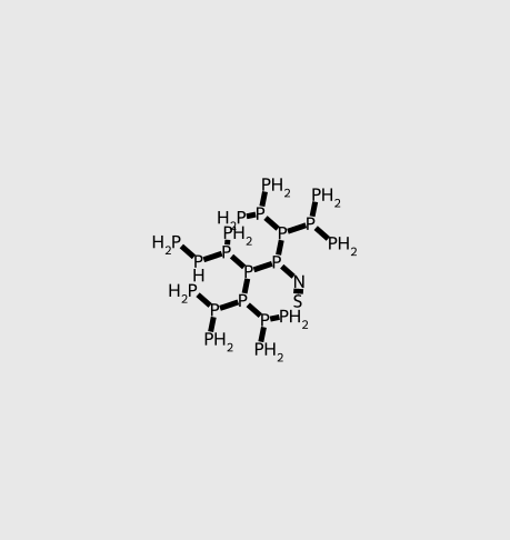 PPP(P)P(P(N=S)P(P(P)P)P(P)P)P(P(P)P)P(P)P